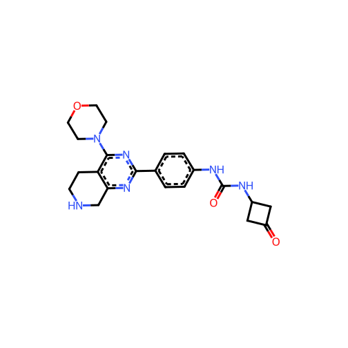 O=C1CC(NC(=O)Nc2ccc(-c3nc4c(c(N5CCOCC5)n3)CCNC4)cc2)C1